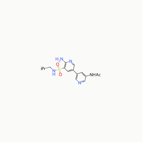 CC(=O)Nc1cncc(-c2cnc(N)c(S(=O)(=O)NCC(C)C)c2)c1